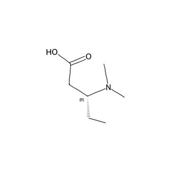 CC[C@H](CC(=O)O)N(C)C